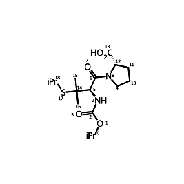 CC(C)OC(=O)N[C@H](C(=O)N1CCC[C@H]1C(=O)O)C(C)(C)SC(C)C